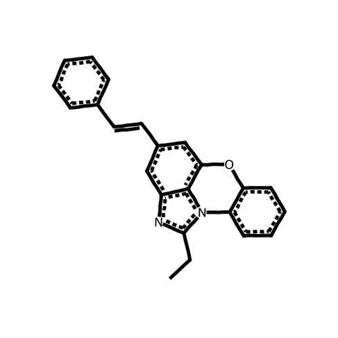 CCc1nc2cc(/C=C/c3ccccc3)cc3c2n1-c1ccccc1O3